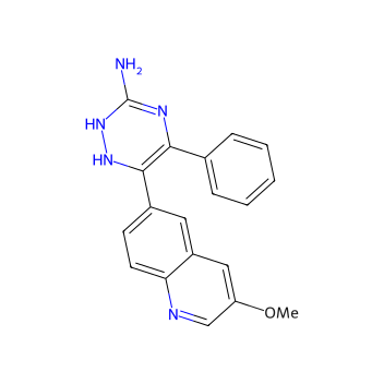 COc1cnc2ccc(C3=C(c4ccccc4)N=C(N)NN3)cc2c1